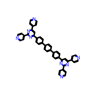 c1cc(-c2cc(-c3ccc(-c4ccc(-c5ccc(-c6cc(-c7ccncc7)nc(-c7ccncc7)n6)cc5)cc4)cc3)nc(-c3ccncc3)n2)ccn1